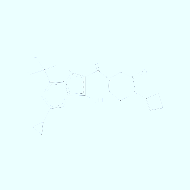 O=C(c1nn2c(C(F)(F)F)cc(C3CC3)cc2c1O)N1CCN(C2CCC2)C(=O)C1